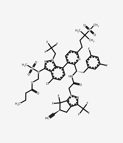 C#C[C@@H]1Cc2c(C(F)(F)F)nn(CC(=O)N[C@@H](Cc3cc(F)cc(F)c3)c3nc(CCC(C)(C)S(C)(=O)=O)ccc3-c3ccc(Cl)c4c(N(COC(=O)CCC)S(C)(=O)=O)nn(CC(F)(F)F)c34)c2C1(F)F